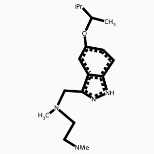 CNCCN(C)Cc1n[nH]c2ccc(OC(C)C(C)C)cc12